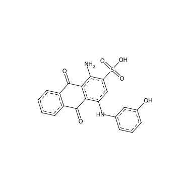 Nc1c(S(=O)(=O)O)cc(Nc2cccc(O)c2)c2c1C(=O)c1ccccc1C2=O